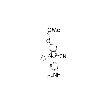 COCCOc1ccc2c(C#N)c(-c3ccc(NC(C)C)cc3)n(C3CCC3)c2c1